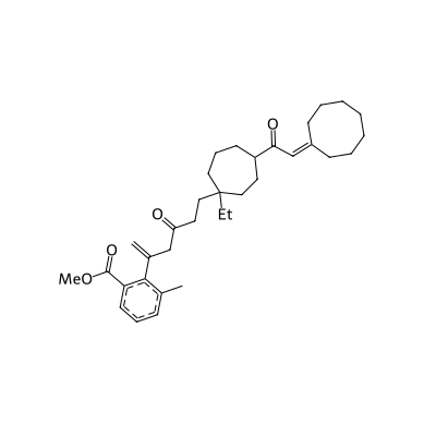 C=C(CC(=O)CCC1(CC)CCCC(C(=O)C=C2CCCCCCC2)CC1)c1c(C)cccc1C(=O)OC